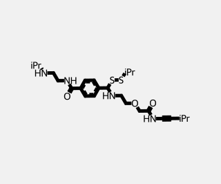 CC(C)C#CNC(=O)COCCNC(SSC(C)C)c1ccc(C(=O)NCCNC(C)C)cc1